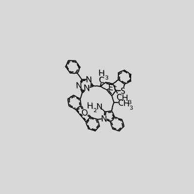 CCC1=C2C(C)c3c(N)n(c4ccccc34)-c3cccc4c3oc3c(cccc34)-c3nc(-c4ccccc4)nc(n3)C1(C)C=C1c3ccccc3SC12C